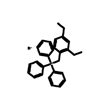 CCc1ccc(C[P+](c2ccccc2)(c2ccccc2)c2ccccc2)c(CC)c1.[Br-]